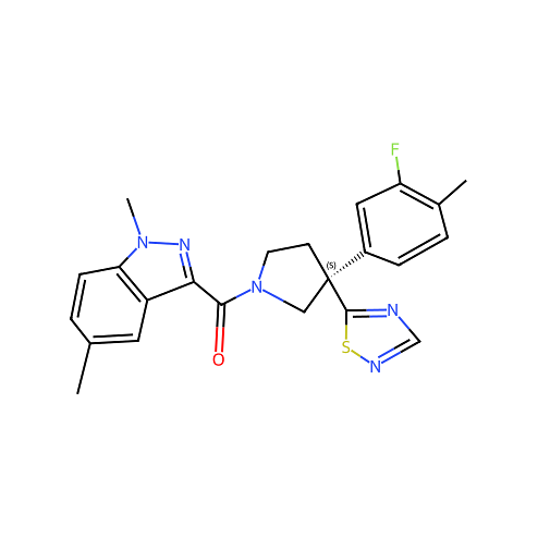 Cc1ccc2c(c1)c(C(=O)N1CC[C@@](c3ccc(C)c(F)c3)(c3ncns3)C1)nn2C